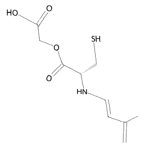 C=C(C)C=CN[C@@H](CS)C(=O)OCC(=O)O